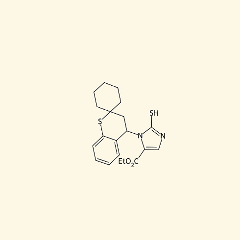 CCOC(=O)c1cnc(S)n1C1CC2(CCCCC2)Sc2ccccc21